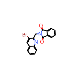 O=C1c2ccccc2C(=O)N1Cc1nc2ccccc2cc1Br